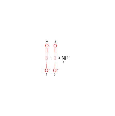 O=B[O-].O=B[O-].[Ni+2]